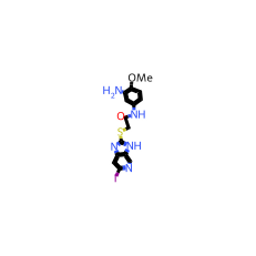 COc1ccc(NC(=O)CSc2nc3cc(I)ncc3[nH]2)cc1N